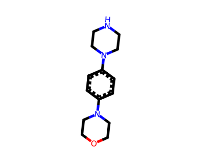 c1cc(N2CCOCC2)ccc1N1CCNCC1